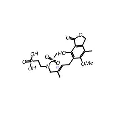 COc1c(C)c2c(c(O)c1C/C=C(\C)CN(CCP(=O)(O)O)S(C)(=O)=O)C(=O)OC2